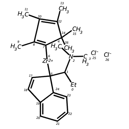 CCC(N(C)C)[C]1([Zr+2][C]2=C(C)C(C)=C(C)C2(C)C)C=Cc2ccccc21.[Cl-].[Cl-]